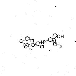 Cn1cc(C(=O)O)c2ccc(C3CN(c4ccc(OCc5c(-c6c(Cl)cccc6Cl)noc5C5CC5)cc4Cl)C3)cc21